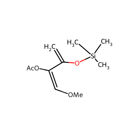 C=C(O[Si](C)(C)C)C(=COC)OC(C)=O